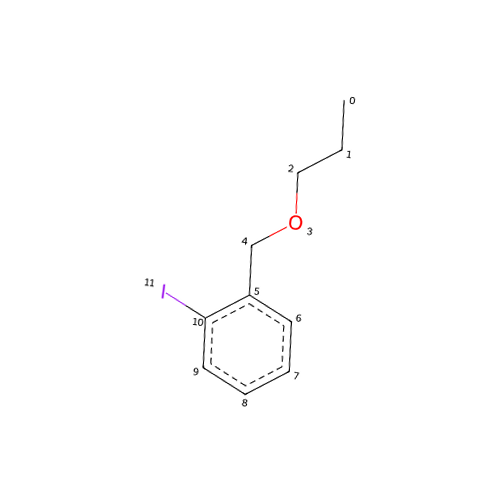 CCCOCc1ccccc1I